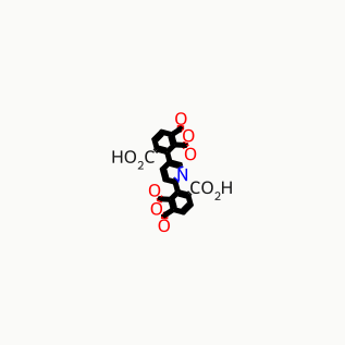 O=C1OC(=O)c2c1ccc(C(=O)O)c2-c1ccc(-c2c(C(=O)O)ccc3c2C(=O)OC3=O)nc1